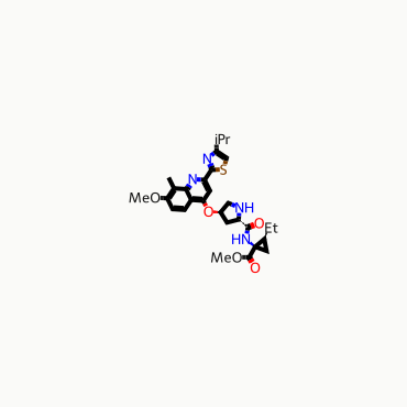 CC[C@@H]1C[C@]1(NC(=O)[C@@H]1C[C@@H](Oc2cc(-c3nc(C(C)C)cs3)nc3c(C)c(OC)ccc23)CN1)C(=O)OC